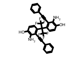 Nc1c(O)ccc(C(c2ccc(O)c(N)c2C#Cc2ccccc2)(C(F)(F)F)C(F)(F)F)c1C#Cc1ccccc1